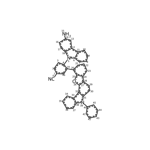 N#Cc1ccc(-n2c3ccccc3c3cc(N)ccc32)c(-c2cccc3c2oc2c3ccc3c2c2ccccc2n3-c2ccccc2)c1